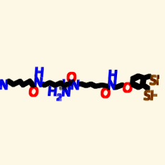 NCCCCCC(=O)NCCCC[C@H](N)C(=O)NCCCCCC(=O)NCCOc1ccc(CS)c(CS)c1